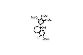 COc1ccc2c(c1F)CCCCC2(O)c1cc(OC)c(OC)c(OC)c1